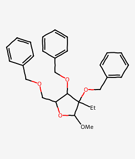 CCC1(OCc2ccccc2)C(OC)OC(COCc2ccccc2)C1OCc1ccccc1